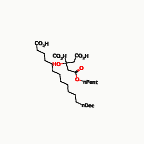 CCCCCCCCCCCCCCCCCCCCCC(=O)O.CCCCCOC(=O)CC(O)(CC(=O)O)C(=O)O